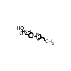 CCCc1cnc(N2CCC(CNC(=O)O)CC2)nc1